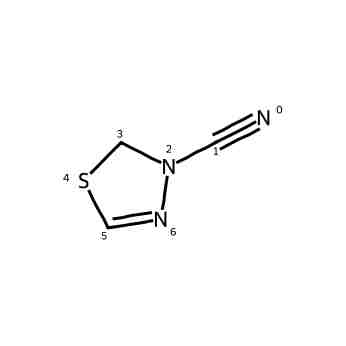 N#CN1CSC=N1